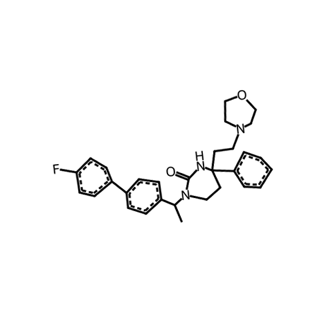 CC(c1ccc(-c2ccc(F)cc2)cc1)N1CCC(CCN2CCOCC2)(c2ccccc2)NC1=O